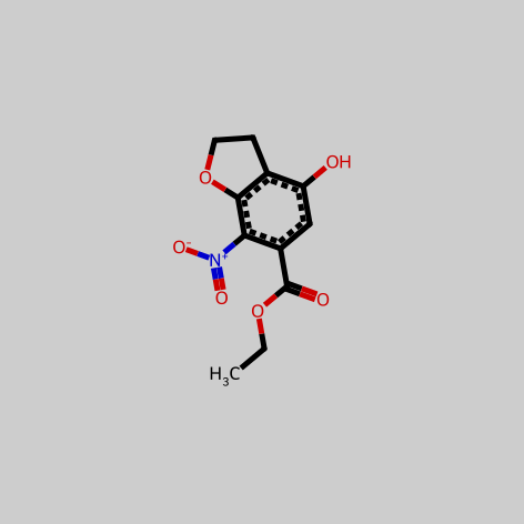 CCOC(=O)c1cc(O)c2c(c1[N+](=O)[O-])OCC2